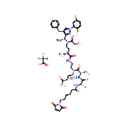 CC(C)[C@H](NC(=O)CCCCCN1C(=O)C=CC1=O)C(=O)N[C@@H](C)C(=O)N(CCNC(=O)[C@@H](N)CCN(C(=O)CO)[C@@H](c1nn(-c2cc(F)ccc2F)cc1Cc1ccccc1)C(C)(C)C)[C@@H](CCC(N)=O)C(=O)O.O=C(O)C(F)(F)F